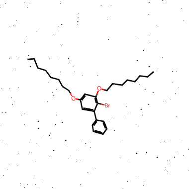 CCCCCCCCOc1cc(OCCCCCCCC)c(Br)c(-c2ccccc2)c1